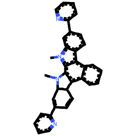 CN1c2c(c3ccccc3c3c4ccc(-c5ccccn5)cc4n(C)c23)C2C=CC(c3ccccn3)=CC21